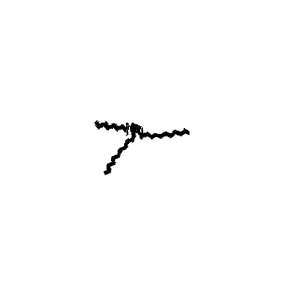 CCCCCCCCCCCn1cc[n+](CCCCCCCC)c1CCCCCCCCCC